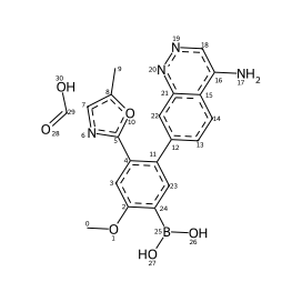 COc1cc(-c2ncc(C)o2)c(-c2ccc3c(N)cnnc3c2)cc1B(O)O.O=CO